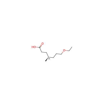 CCOCCC[C@@H](C)CCC(=O)O